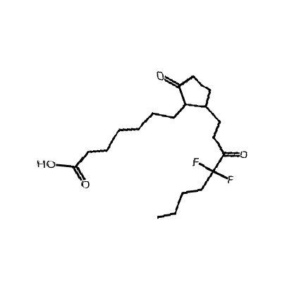 CCCCC(F)(F)C(=O)CCC1CCC(=O)C1CCCCCCC(=O)O